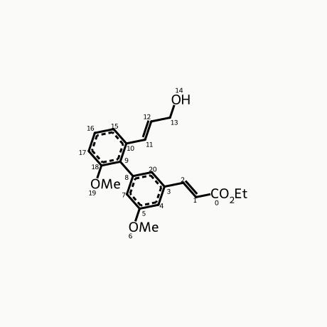 CCOC(=O)/C=C/c1cc(OC)cc(-c2c(/C=C/CO)cccc2OC)c1